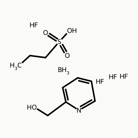 B.CCCS(=O)(=O)O.F.F.F.F.OCc1ccccn1